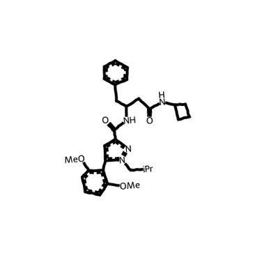 COc1cccc(OC)c1-c1cc(C(=O)NC(CC(=O)NC2CCC2)Cc2ccccc2)nn1CC(C)C